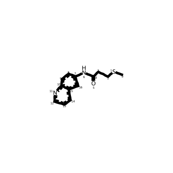 CSCCC(=O)Nc1ccc2ncccc2c1